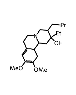 CCC1(O)CC2C3CC(OC)=C(OC)C=C3CCN2CC1CC(C)C